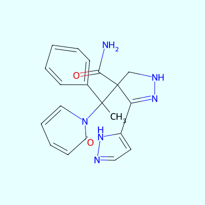 CC(c1ccccc1)(n1ccccc1=O)C1(C(N)=O)CNN=C1c1ccn[nH]1